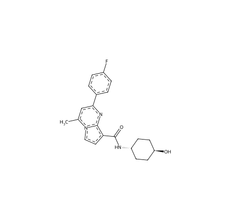 Cc1cc(-c2ccc(F)cc2)nc2c(C(=O)N[C@H]3CC[C@H](O)CC3)ccn12